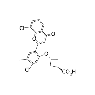 Cc1cc(-c2cc(=O)c3cccc(Cl)c3o2)c(O[C@H]2C[C@H](C(=O)O)C2)cc1Cl